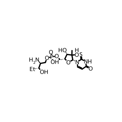 CC[C@@H](O)[C@@H](N)COP(=O)(O)OC[C@H]1O[C@@H](n2ccc(=O)[nH]c2=S)C(C)(O)[C@H]1O